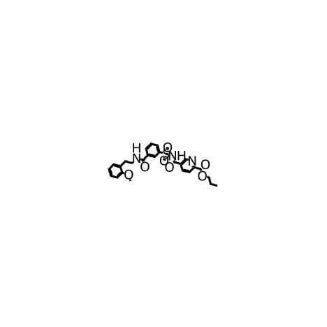 CCCOC(=O)c1ccc(C(=O)NS(=O)(=O)c2cccc(C(=O)NCCc3ccccc3OC)c2)cn1